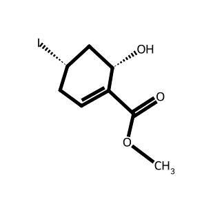 COC(=O)C1=CC[C@H](I)C[C@@H]1O